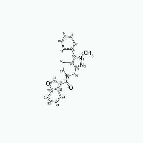 Cn1nc2c(c1-c1ccccc1)CCN(C(=O)c1coc3ccccc13)C2